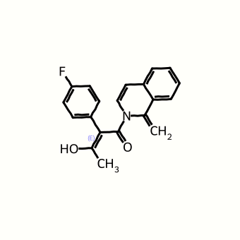 C=C1c2ccccc2C=CN1C(=O)/C(=C(\C)O)c1ccc(F)cc1